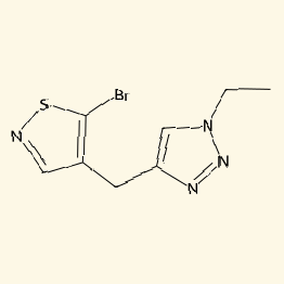 CCn1cc(Cc2cnsc2Br)nn1